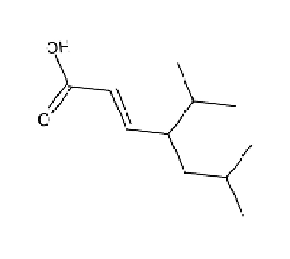 CC(C)CC(/C=C/C(=O)O)C(C)C